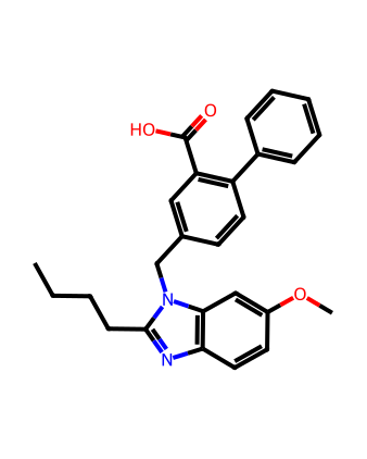 CCCCc1nc2ccc(OC)cc2n1Cc1ccc(-c2ccccc2)c(C(=O)O)c1